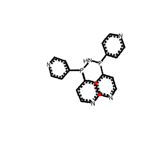 c1cc(P(NP(c2ccncc2)c2ccncc2)c2ccncc2)ccn1